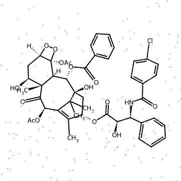 CC(=O)O[C@H]1C(=O)[C@@]2(C)[C@H]([C@H](OC(=O)c3ccccc3)[C@]3(O)C[C@H](OC(=O)[C@H](O)[C@@H](NC(=O)c4ccc(Cl)cc4)c4ccccc4)C(C)=C1C3(C)C)[C@]1(OC(C)=O)OO[C@@H]1C[C@@H]2O